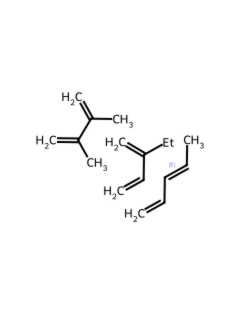 C=C(C)C(=C)C.C=C/C=C/C.C=CC(=C)CC